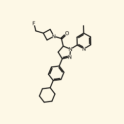 Cc1ccnc(N2N=C(c3ccc(C4CCCCC4)cc3)CC2C(=O)N2CC(CF)C2)c1